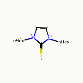 CCCCCCN1CCN(CCCCCC)C1=S